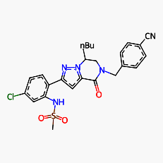 CCCCC1CN(Cc2ccc(C#N)cc2)C(=O)c2cc(-c3ccc(Cl)cc3NS(C)(=O)=O)nn21